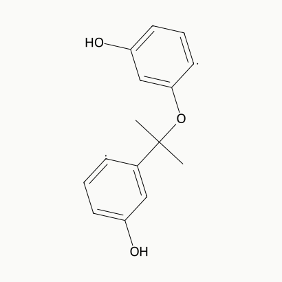 CC(C)(Oc1[c]ccc(O)c1)c1[c]ccc(O)c1